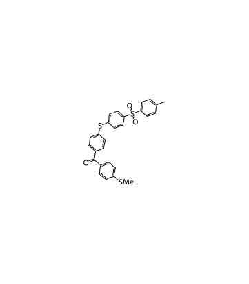 CSc1ccc(C(=O)c2ccc(Sc3ccc(S(=O)(=O)c4ccc(C)cc4)cc3)cc2)cc1